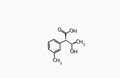 Cc1cccc([C@@H](C(=O)O)[C@@H](C)O)c1